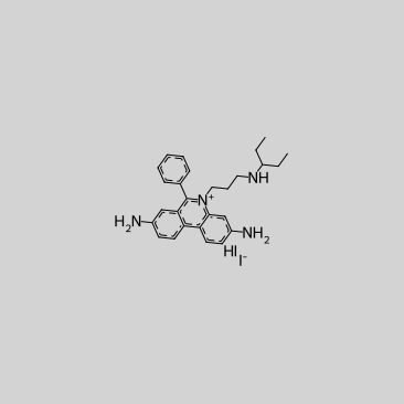 CCC(CC)NCCC[n+]1c(-c2ccccc2)c2cc(N)ccc2c2ccc(N)cc21.I.[I-]